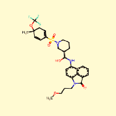 COCCCN1C(=O)c2cccc3c(NC(O)C4CCCN(S(=O)(=O)C5=CCC(C)(OC(F)(F)F)C=C5)C4)ccc1c23